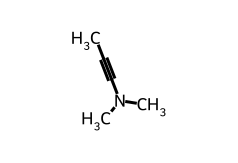 CC#CN(C)C